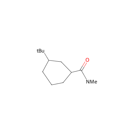 CNC(=O)C1CCCC(C(C)(C)C)C1